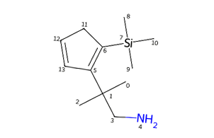 CC(C)(CN)C1=C([Si](C)(C)C)CC=C1